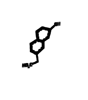 O=C(O)Cc1ccc2ccc(O)cc2c1